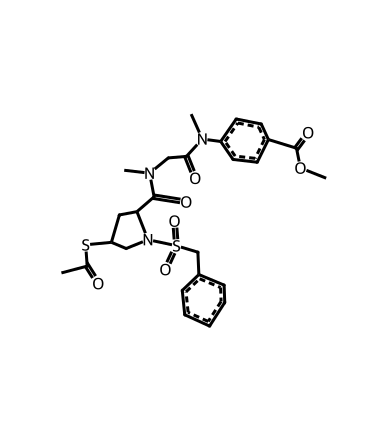 COC(=O)c1ccc(N(C)C(=O)CN(C)C(=O)C2CC(SC(C)=O)CN2S(=O)(=O)Cc2ccccc2)cc1